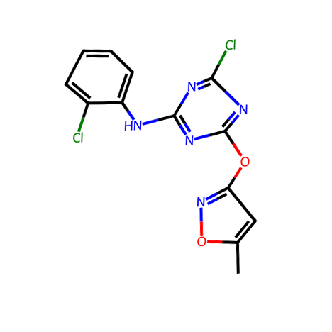 Cc1cc(Oc2nc(Cl)nc(Nc3ccccc3Cl)n2)no1